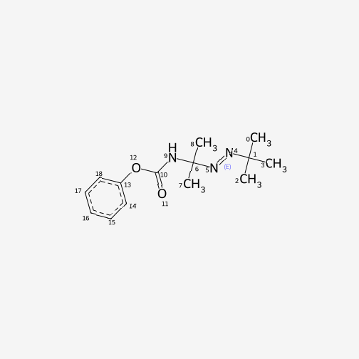 CC(C)(C)/N=N/C(C)(C)NC(=O)Oc1ccccc1